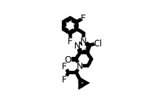 O=C1c2nn(Cc3c(F)cccc3F)c(Cl)c2CCN1C(C(F)F)C1CC1